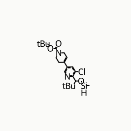 C[SiH](C)OC(c1ncc(C2=CCN(C(=O)OC(C)(C)C)CC2)cc1Cl)C(C)(C)C